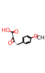 COc1ccc(C[C@@H]2O[C@H]2C(=O)O)cc1